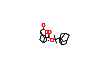 CC(C)(OC(=O)C1C2[CH]C3OC(=O)C1C3C2)C12CC3CC(CC(C3)C1)C2